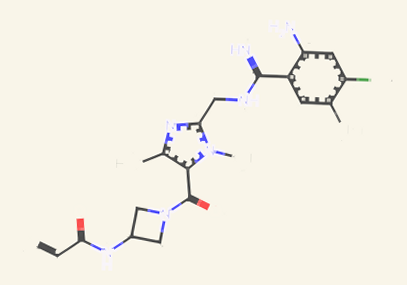 C=CC(=O)NC1CN(C(=O)c2c(C)nc(CNC(=N)c3cc(C(C)(C)C)c(Cl)cc3N)n2C)C1